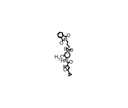 C[C@@H]1CN(S(=O)(=O)CCCN2C(=O)c3ccccc3C2=O)CC[C@H]1NC(=O)c1cc(C2CC2)on1